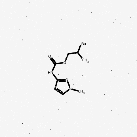 CCC(C)C(C)COC(=O)Nc1ccn(C)n1